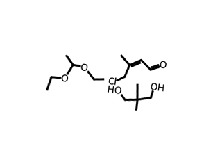 C/C(=C/C=O)CCl.CC(C)(CO)CO.CCOC(C)OCC